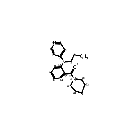 CCCN(c1ccncc1)c1ccccc1C(=O)N1CCCCC1